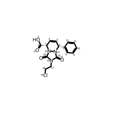 O=C(O)[C@@H]1C=C[C@H](c2ccccc2)n2c(=O)n(CCCl)c(=O)n21